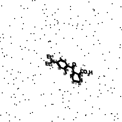 CCN(CC)c1ccc(C(=O)c2nccnc2C(=O)O)c(C)c1